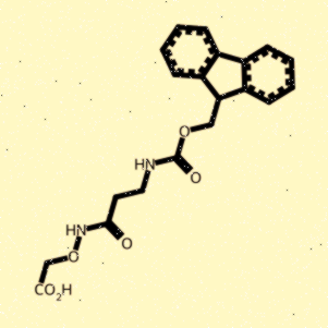 O=C(O)CONC(=O)CCNC(=O)OCC1c2ccccc2-c2ccccc21